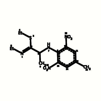 CCN=C(SCC)C(C)Nc1c([N+](=O)[O-])cc(C)cc1[N+](=O)[O-]